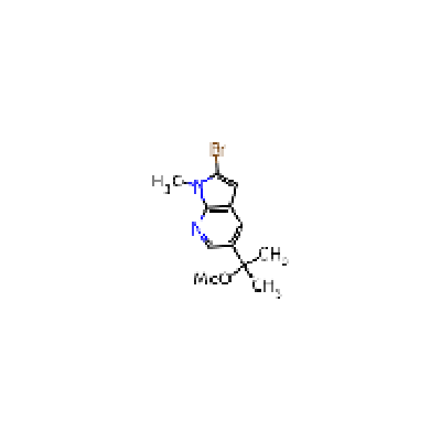 COC(C)(C)c1cnc2c(c1)cc(Br)n2C